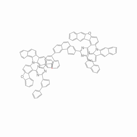 c1ccc(-c2cccc(-c3nc(-c4ccc(-c5ccc6ccc7cc(-c8nc(-c9ccc%10ccccc%10c9)nc(-c9c(-n%10c%11ccccc%11c%11cc%12ccccc%12cc%11%10)ccc%10oc%11cc%12ccccc%12cc%11c9%10)n8)ccc7c6c5)c5ccccc45)nc(-c4c(-n5c6cc7ccccc7cc6c6ccc7ccccc7c65)ccc5oc6ccccc6c45)n3)c2)cc1